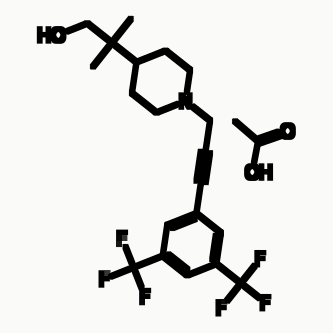 CC(=O)O.CC(C)(CO)C1CCN(CC#Cc2cc(C(F)(F)F)cc(C(F)(F)F)c2)CC1